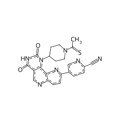 CC(=S)N1CCC(n2c(=O)[nH]c(=O)c3cnc4ccc(-c5ccc(C#N)nc5)nc4c32)CC1